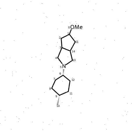 COC1CC2CN([C@H]3CC[C@@H](C)CC3)CC2C1